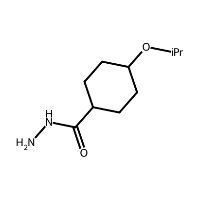 CC(C)OC1CCC(C(=O)NN)CC1